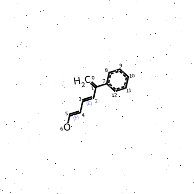 C=C(/C=C/C=C/[O])c1ccccc1